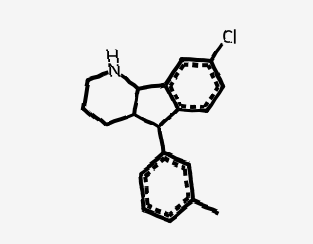 Cc1cccc(C2c3ccc(Cl)cc3C3NCCCC32)c1